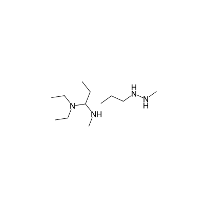 CCC(NC)N(CC)CC.CCCNNC